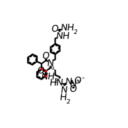 NC(=O)NCc1ccc(CN(C(=O)C(c2ccccc2)c2ccccc2)[C@H](CCCNC(N)=N[N+](=O)[O-])C(N)=O)cc1